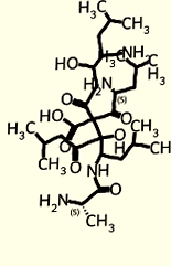 CC(C)CC(=O)C(O)(C(CC(C)C)NC(=O)[C@H](C)N)C(C(=O)O)(C(=O)CC(O)C(N)CC(C)C)C(=O)[C@@H](N)CC(C)C